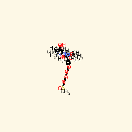 CC(=O)SCCOCCOCCOCCOc1ccc(C(C)(C)C(C(=O)NC(C(=O)N(C)C(/C=C(\C)C(=O)O)C(C)C)C(C)(C)C)N(C)C(=O)OC(C)(C)C)cc1